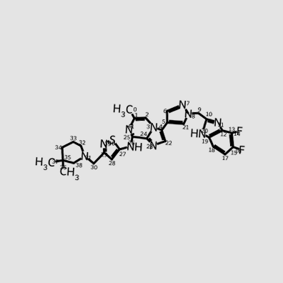 Cc1cn2c(-c3cnn(Cc4nc5c(F)c(F)ccc5[nH]4)c3)cnc2c(Nc2cc(CN3CCCC(C)(C)C3)ns2)n1